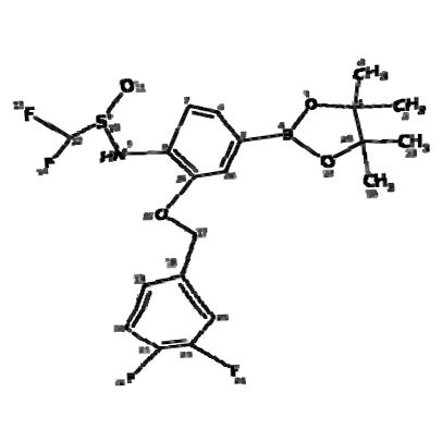 CC1(C)OB(c2ccc(N[S+]([O-])C(F)F)c(OCc3ccc(F)c(F)c3)c2)OC1(C)C